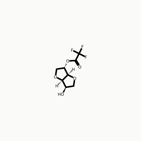 O=C(O[C@H]1CO[C@H]2[C@@H]1OC[C@H]2O)C(F)(F)F